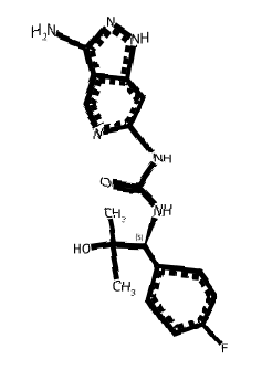 CC(C)(O)[C@@H](NC(=O)Nc1cc2[nH]nc(N)c2cn1)c1ccc(F)cc1